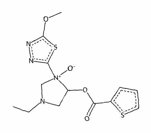 CCN1CC(OC(=O)c2cccs2)[N+]([O-])(c2nnc(OC)s2)C1